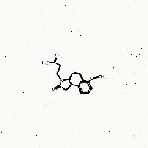 COc1cccc2c1CCC1C2CC(=O)N1CCC(C)C